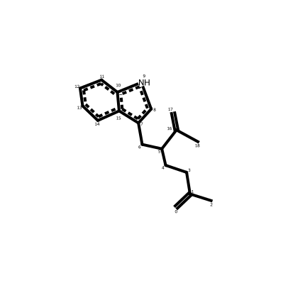 C=C(C)CCC(Cc1c[nH]c2ccccc12)C(=C)C